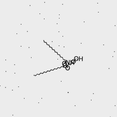 CCCCCCCCCCCCCCCCCCOC(=O)C(Cc1ccc(O)cc1)NC(=O)CCCCCCCCCCCCCCCCC